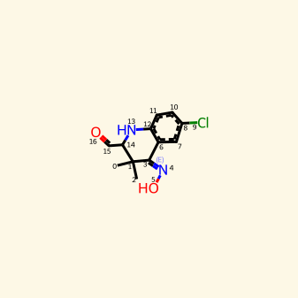 CC1(C)/C(=N\O)c2cc(Cl)ccc2NC1C=O